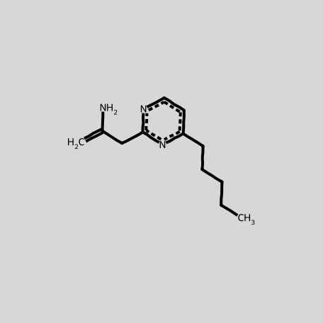 C=C(N)Cc1nccc(CCCCC)n1